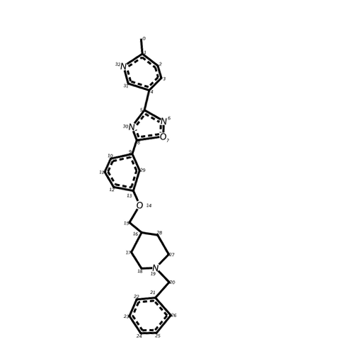 Cc1ccc(-c2noc(-c3cccc(OCC4CCN(Cc5ccccc5)CC4)c3)n2)cn1